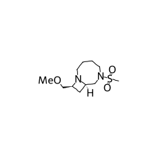 COC[C@@H]1C[C@@H]2CN(S(C)(=O)=O)CCCCN12